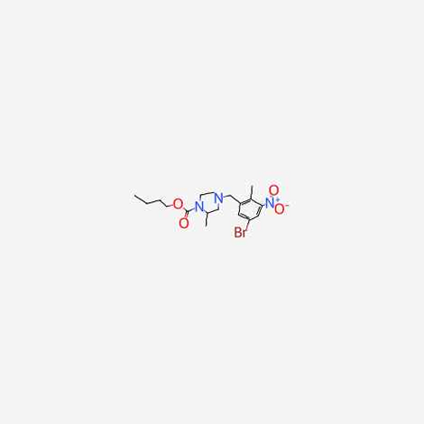 CCCCOC(=O)N1CCN(Cc2cc(Br)cc([N+](=O)[O-])c2C)CC1C